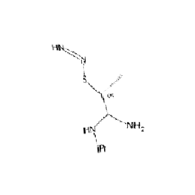 CC(C)NC(N)[C@@H](C)SN=N